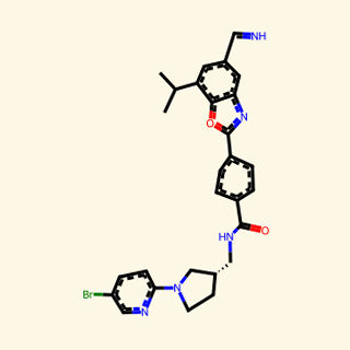 CC(C)c1cc(C=N)cc2nc(-c3ccc(C(=O)NC[C@@H]4CCN(c5ccc(Br)cn5)C4)cc3)oc12